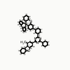 CC1C=C(c2nc(-c3ccccc3)nc(-c3cccc(-c4ccc5c(c4)Oc4ccccc4C54c5ccccc5-c5ccccc54)c3)n2)C=C2Oc3ccccc3C21